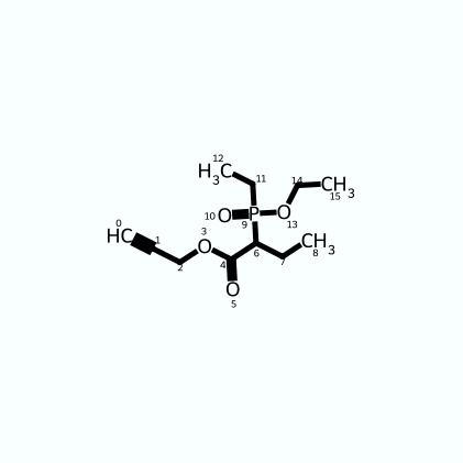 C#CCOC(=O)C(CC)P(=O)(CC)OCC